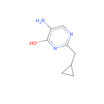 Nc1cnc(CC2CC2)nc1O